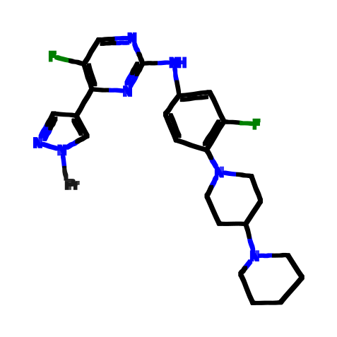 CC(C)n1cc(-c2nc(Nc3ccc(N4CCC(N5CCCCC5)CC4)c(F)c3)ncc2F)cn1